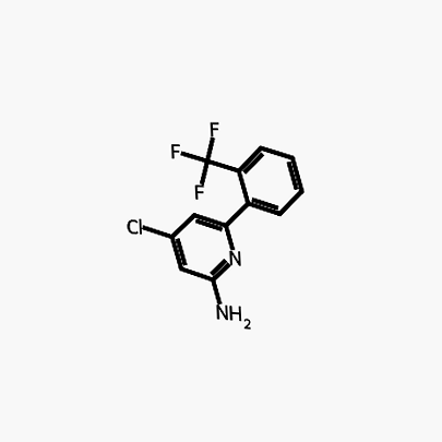 Nc1cc(Cl)cc(-c2ccccc2C(F)(F)F)n1